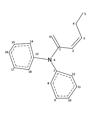 C=C(/C=C\CC)N(c1ccccc1)c1ccccc1